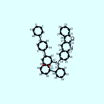 c1ccc(-c2ccc(-c3cccc(N(c4ccc5nc6oc7ccccc7c6cc5c4)c4ccccc4-c4ccccc4)c3)cc2)cc1